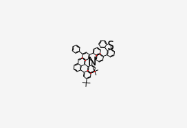 CC(C)(C)c1cc(-c2cccc3cccc(-c4ccccc4N(c4ccc(-c5cccc6sc7ccccc7c56)cc4)c4ccc(-c5ccccc5)cc4-c4ccccc4)c23)cc(C(C)(C)C)c1